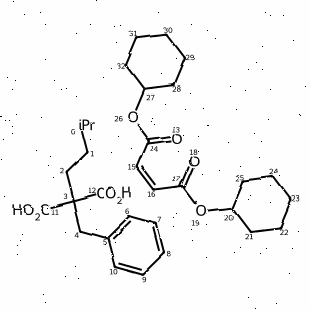 CC(C)CCC(Cc1ccccc1)(C(=O)O)C(=O)O.O=C(/C=C\C(=O)OC1CCCCC1)OC1CCCCC1